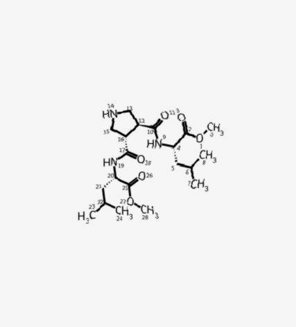 COC(=O)[C@H](CC(C)C)NC(=O)[C@@H]1CNC[C@H]1C(=O)N[C@@H](CC(C)C)C(=O)OC